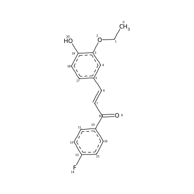 CCOc1cc(C=CC(=O)c2ccc(F)cc2)ccc1O